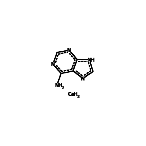 Nc1ncnc2[nH]cnc12.[CaH2]